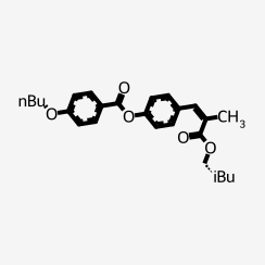 CCCCOc1ccc(C(=O)Oc2ccc(C=C(C)C(=O)OC[C@@H](C)CC)cc2)cc1